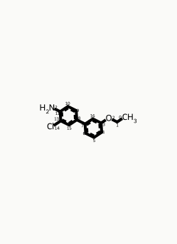 CCOc1cccc(-c2ccc(N)c(Cl)c2)c1